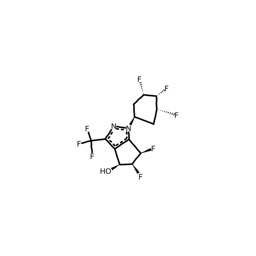 O[C@H]1c2c(C(F)(F)F)nn([C@@H]3C[C@@H](F)[C@@H](F)[C@@H](F)C3)c2[C@@H](F)[C@H]1F